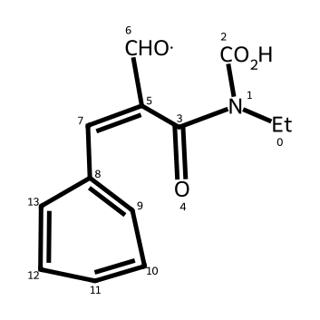 CCN(C(=O)O)C(=O)C([C]=O)=Cc1ccccc1